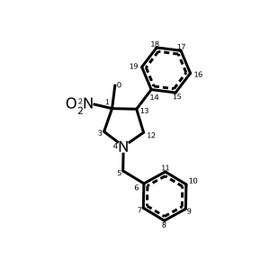 CC1([N+](=O)[O-])CN(Cc2ccccc2)CC1c1ccccc1